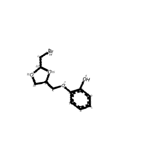 Oc1ccccc1OCC1COC(CBr)O1